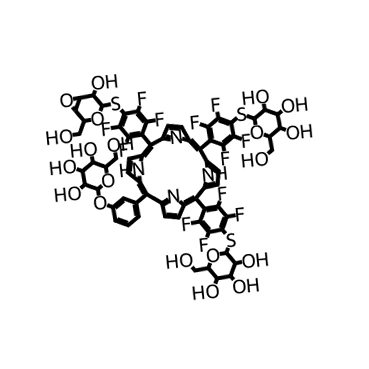 OCC1OC(Oc2cccc(-c3c4nc(c(-c5c(F)c(F)c(SC6OC(CO)C(O)C(O)C6O)c(F)c5F)c5ccc([nH]5)c(-c5c(F)c(F)c(SC6OC(CO)C(O)C(O)C6O)c(F)c5F)c5nc(c(-c6c(F)c(F)c(SC7OC(CO)C8OC8C7O)c(F)c6F)c6ccc3[nH]6)C=C5)C=C4)c2)C(O)C(O)C1O